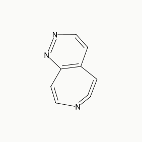 C1=Cc2ccnnc2C=CN=1